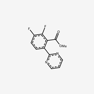 COC(=O)c1c(-c2ncccn2)ccc(F)c1F